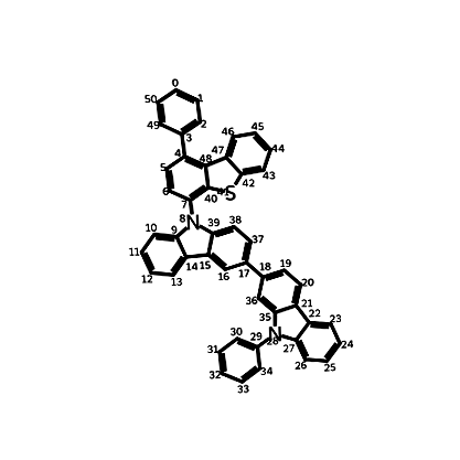 c1ccc(-c2ccc(-n3c4ccccc4c4cc(-c5ccc6c7ccccc7n(-c7ccccc7)c6c5)ccc43)c3sc4ccccc4c23)cc1